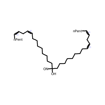 CCCCC/C=C\C/C=C\CCCCCCCCC(O)(CCCCCCCC/C=C\C/C=C\CCCCC)N=O